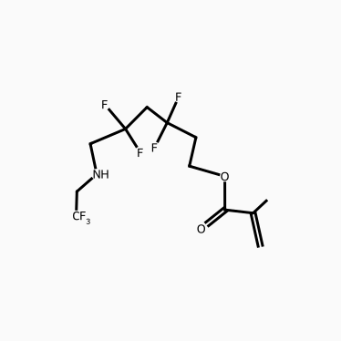 C=C(C)C(=O)OCCC(F)(F)CC(F)(F)CNCC(F)(F)F